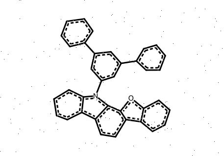 c1ccc(-c2cc(-c3ccccc3)cc(-n3c4ccccc4c4ccc5c6ccccc6oc5c43)c2)cc1